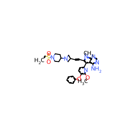 C=CS(=O)(=O)N1CCC(N2CC(C#Cc3c(-c4ccc(Oc5ccccc5)c(OC)n4)c4c(N)ncnc4n3C)C2)CC1